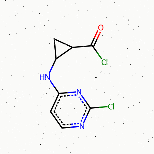 O=C(Cl)C1CC1Nc1ccnc(Cl)n1